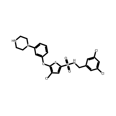 O=S(=O)(NCc1cc(Cl)cc(Cl)c1)c1cc(Cl)c(Oc2cccc(N3CCNCC3)c2)s1